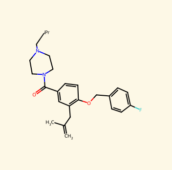 C=C(C)Cc1cc(C(=O)N2CCN(CC(C)C)CC2)ccc1OCc1ccc(F)cc1